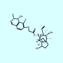 C=C[C@]1(C)C[C@@H](OC(=O)COc2ccc3c(c2F)B(O)N(C)N=C3)[C@]2(C)[C@H](C)CC[C@]3(CCC(O)[C@H]32)[C@@H](C)[C@@H]1O